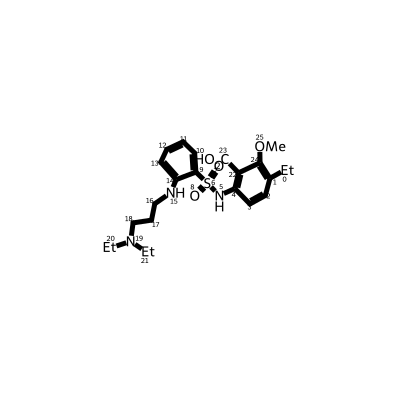 CCc1ccc(NS(=O)(=O)c2ccccc2NCCCN(CC)CC)c(C(=O)O)c1OC